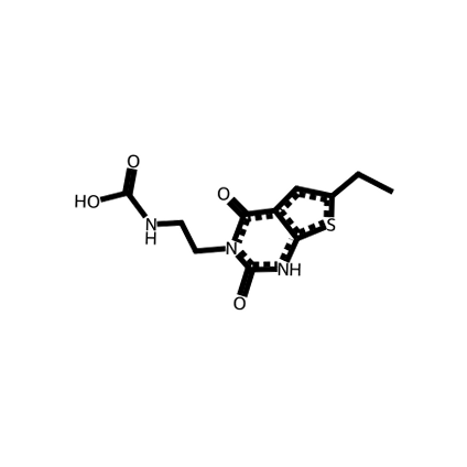 CCc1cc2c(=O)n(CCNC(=O)O)c(=O)[nH]c2s1